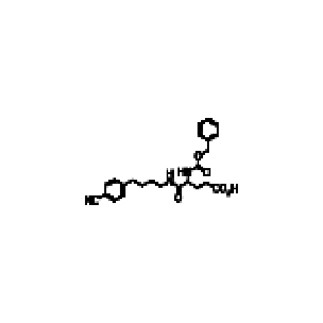 N#Cc1ccc(CCCCNC(=O)[C@H](CCC(=O)O)NC(=O)OCc2ccccc2)cc1